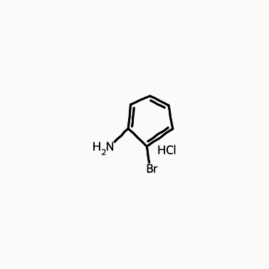 Cl.Nc1ccccc1Br